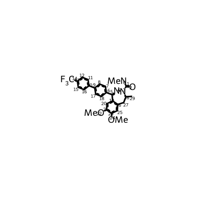 CNC(=O)N1N=C(c2ccc(-c3ccc(C(F)(F)F)cc3)cc2)c2cc(OC)c(OC)cc2CC1C